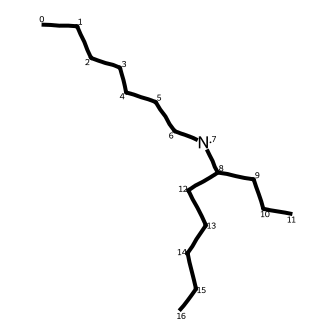 CCCCCCC[N]C(CCC)CCCCC